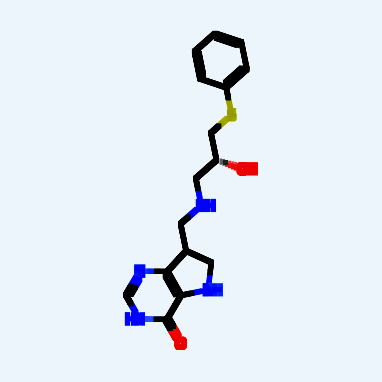 O=c1[nH]cnc2c1NCC2CNC[C@@H](O)CSc1ccccc1